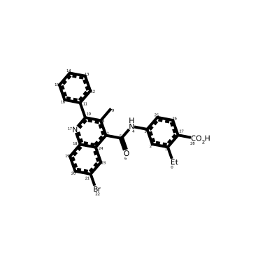 CCc1cc(NC(=O)c2c(C)c(-c3ccccc3)nc3ccc(Br)cc23)ccc1C(=O)O